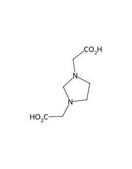 O=C(O)CN1CCN(CC(=O)O)C1